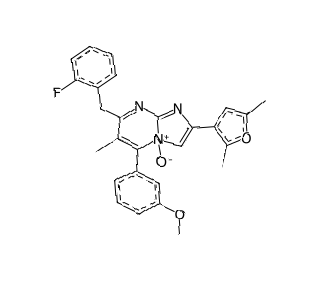 COc1cccc(C2=C(C)C(Cc3ccccc3F)=NC3=NC(c4cc(C)oc4C)=C[N+]32[O-])c1